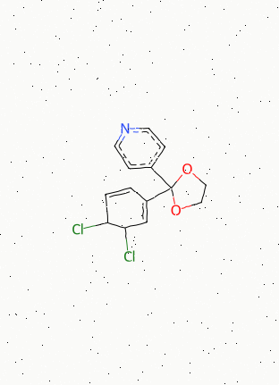 ClC1C=CC(C2(c3ccncc3)OCCO2)=CC1Cl